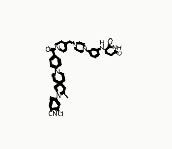 C[C@@H]1CC2(CCN(c3ccc(C(=O)N4CCC(CN5CCN(c6cccc(N[C@H]7CCC(=O)NC7=O)c6)CC5)CC4)cc3)CC2)CN1c1ccc(C#N)c(Cl)c1